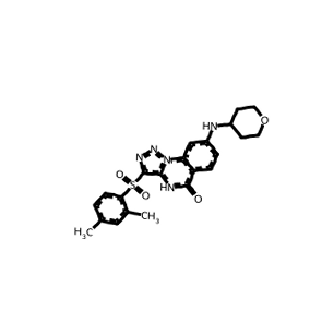 Cc1ccc(S(=O)(=O)c2nnn3c2[nH]c(=O)c2ccc(NC4CCOCC4)cc23)c(C)c1